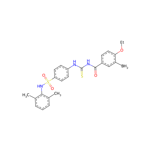 Bc1cc(C(=O)NC(=S)Nc2ccc(S(=O)(=O)Nc3c(C)cccc3C)cc2)ccc1OCC